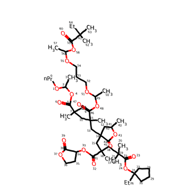 CCCOC(C)OC(=O)C(C)(CC)CC(C)(CC1(CC(C)(CC(C)(C)C(=O)OC2(CC)CCCC2)C(=O)OC2CCOC2=O)CC(C)OC1=O)C(=O)OC(C)OCCCOC(C)OC(=O)C(C)(C)CC